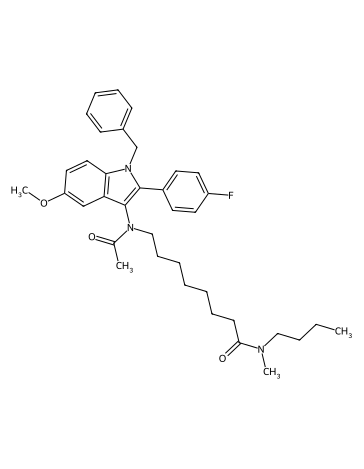 CCCCN(C)C(=O)CCCCCCCN(C(C)=O)c1c(-c2ccc(F)cc2)n(Cc2ccccc2)c2ccc(OC)cc12